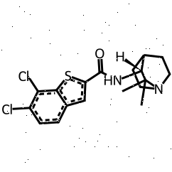 CC1(C)[C@H](NC(=O)c2cc3ccc(Cl)c(Cl)c3s2)C2CCN1CC2